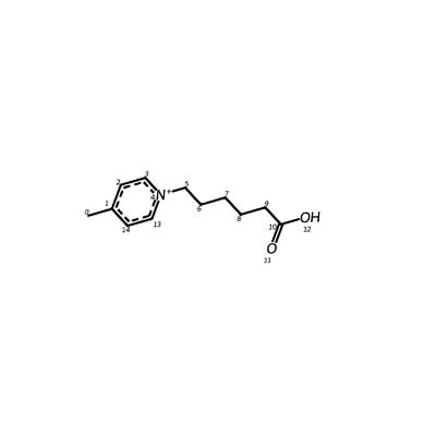 Cc1cc[n+](CCCCCC(=O)O)cc1